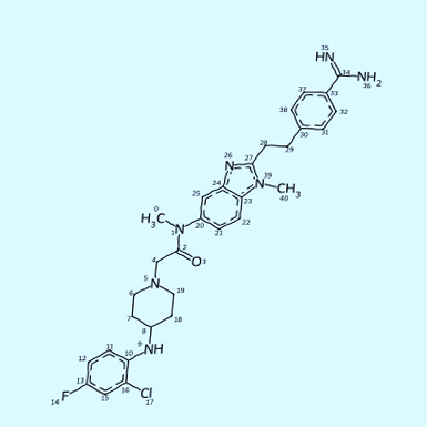 CN(C(=O)CN1CCC(Nc2ccc(F)cc2Cl)CC1)c1ccc2c(c1)nc(CCc1ccc(C(=N)N)cc1)n2C